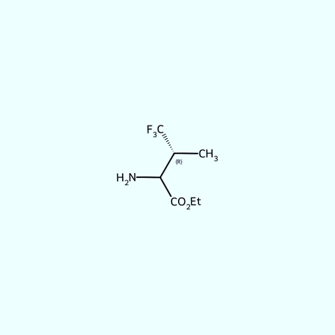 CCOC(=O)C(N)[C@@H](C)C(F)(F)F